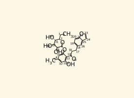 CCC1O[C@@H](Oc2cc(C)cc(O)c2C(=O)CCc2ccc3occc3c2)C(O)[C@@H](O)[C@@H]1O